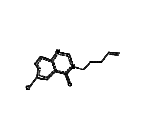 C=CCCCn1cnc2ccc(Cl)cc2c1=O